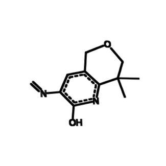 C=Nc1cc2c(nc1O)C(C)(C)COC2